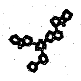 c1ccc(-c2cccc(-c3nc(-c4ccc5c(-c6cccc7c6sc6ccccc67)cccc5c4)nc(-c4ccc5c(c4)oc4ccccc45)n3)c2)cc1